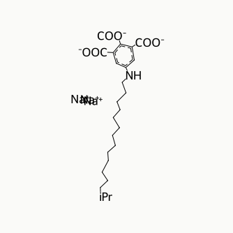 CC(C)CCCCCCCCCCCCCNc1cc(C(=O)[O-])c(C(=O)[O-])c(C(=O)[O-])c1.[Na+].[Na+].[Na+]